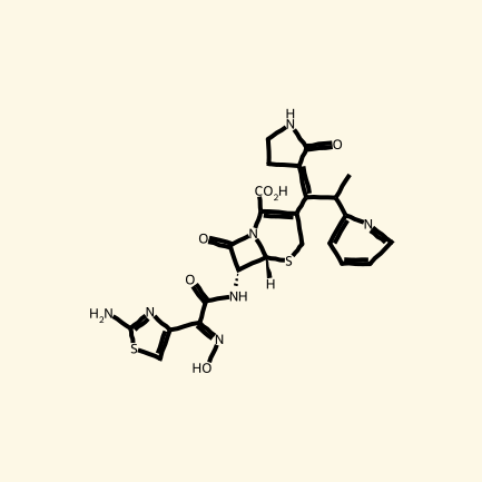 CC(C(=C1CCNC1=O)C1=C(C(=O)O)N2C(=O)[C@@H](NC(=O)C(=NO)c3csc(N)n3)[C@H]2SC1)c1ccccn1